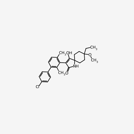 CCC1(OC)CCC2(CC1)NC(=O)C(c1c(C)ccc(-c3ccc(Cl)cc3)c1C)=C2O